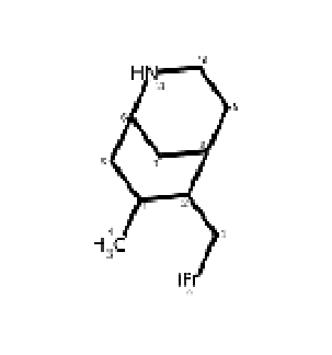 CC(C)CC1C(C)CC2CC1CCN2